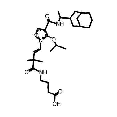 CC(C)Oc1c(C(=O)NC(C)C2CC3CCCC(C3)C2)cnn1/C=C/C(C)(C)C(=O)NCCCC(=O)O